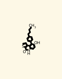 CCCCCc1ccc(-c2c(O)ccc3[nH]c(=O)c4sccc4c23)cc1